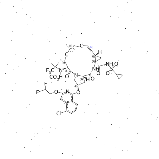 C[C@@H]1CC/C=C\[C@@H]2C[C@@]2(C(=O)NS(=O)(=O)C2CC2)NC(=O)[C@@H]2C[C@@H](Oc3nc(OCC(F)F)cc4c(Cl)cccc34)CN2C(=O)[C@@H](N(C(=O)O)C(C)(C)C(F)(F)F)[C@H](C)C1